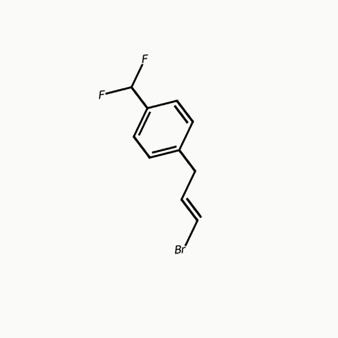 FC(F)c1ccc(C/C=C/Br)cc1